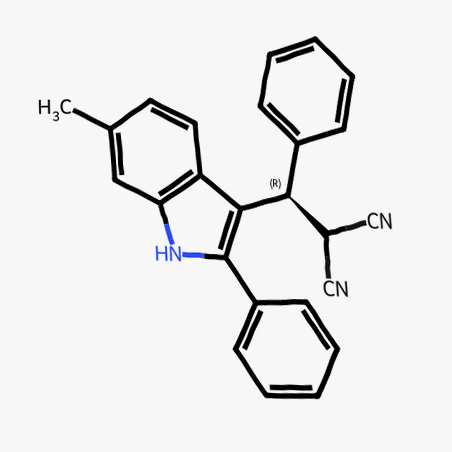 Cc1ccc2c([C@@H](c3ccccc3)C(C#N)C#N)c(-c3ccccc3)[nH]c2c1